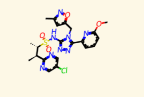 COc1cccc(-c2nnc(NS(=O)(=O)[C@@H](C)[C@H](C)c3ncc(Cl)cn3)n2Cc2cc(C)no2)n1